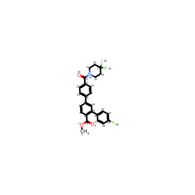 COC(=O)c1ccc(-c2ccc(C(=O)N3CCC(F)(F)CC3)cc2)cc1-c1ccc(F)cc1